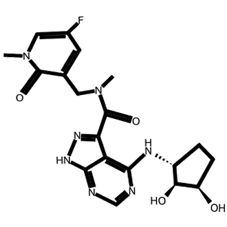 CN(Cc1cc(F)cn(C)c1=O)C(=O)c1n[nH]c2ncnc(N[C@@H]3CC[C@@H](O)[C@H]3O)c12